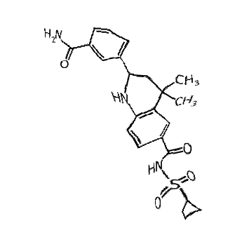 CC1(C)CC(c2cccc(C(N)=O)c2)Nc2ccc(C(=O)NS(=O)(=O)C3CC3)cc21